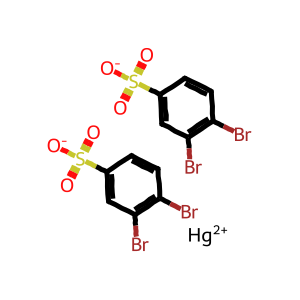 O=S(=O)([O-])c1ccc(Br)c(Br)c1.O=S(=O)([O-])c1ccc(Br)c(Br)c1.[Hg+2]